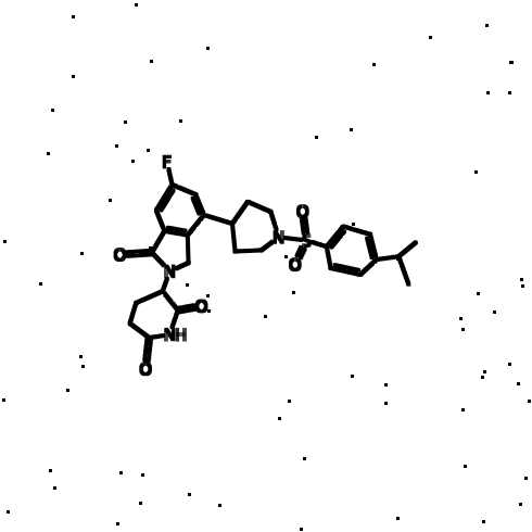 CC(C)c1ccc(S(=O)(=O)N2CCC(c3cc(F)cc4c3CN(C3CCC(=O)NC3=O)C4=O)CC2)cc1